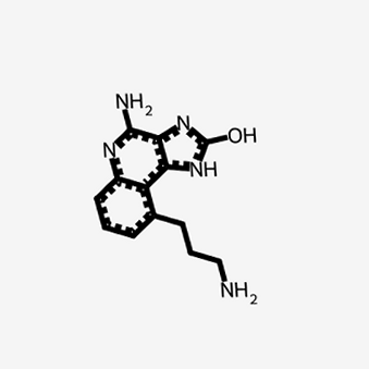 NCCCc1cccc2nc(N)c3nc(O)[nH]c3c12